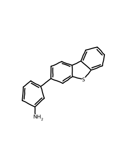 Nc1cccc(-c2ccc3c(c2)sc2ccccc23)c1